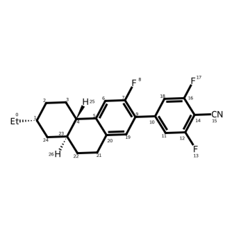 CC[C@@H]1CC[C@@H]2c3cc(F)c(-c4cc(F)c(C#N)c(F)c4)cc3CC[C@H]2C1